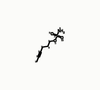 CC#CCCCOS(N)(=O)=O